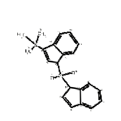 C[Si](C)(C)C1=C[CH]([Zr]([Cl])([Cl])[CH]2C=Cc3ccccc32)c2ccccc21